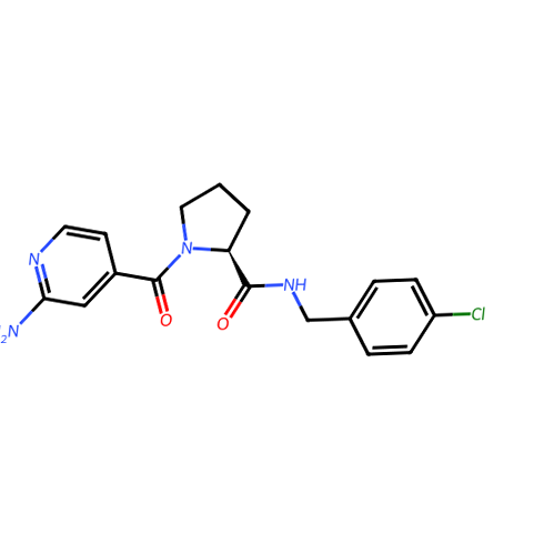 Nc1cc(C(=O)N2CCC[C@H]2C(=O)NCc2ccc(Cl)cc2)ccn1